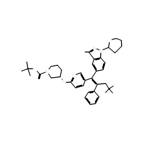 CC(C)(C)OC(=O)N1CCC[C@@H](Nc2ccc(/C(=C(/CC(F)(F)F)c3ccccc3)c3ccc4c(c3)c(F)nn4C3CCCCO3)cn2)C1